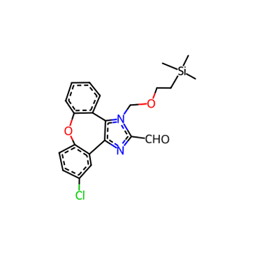 C[Si](C)(C)CCOCn1c(C=O)nc2c1-c1ccccc1Oc1ccc(Cl)cc1-2